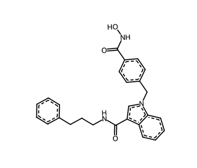 O=C(NO)c1ccc(Cn2cc(C(=O)NCCCc3ccccc3)c3ccccc32)cc1